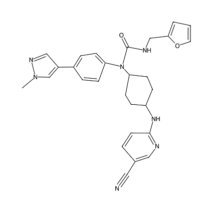 Cn1cc(-c2ccc(N(C(=O)NCc3ccco3)C3CCC(Nc4ccc(C#N)cn4)CC3)cc2)cn1